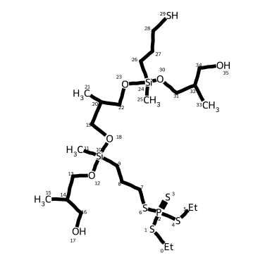 CCSP(=S)(SCC)SCCC[Si](C)(OCC(C)CO)OCC(C)CO[Si](C)(CCCS)OCC(C)CO